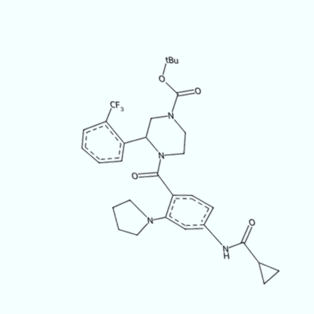 CC(C)(C)OC(=O)N1CCN(C(=O)c2ccc(NC(=O)C3CC3)cc2N2CCCC2)C(c2ccccc2C(F)(F)F)C1